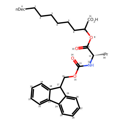 CCCCCCCCCCCCCCCCC(OC(=O)[C@@H](NC(=O)OCC1c2ccccc2-c2ccccc21)C(C)C)C(=O)O